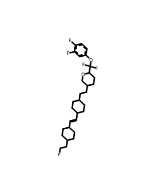 FCCC1CCC(/C=C/C2CCC(CCC3CCC(C(F)(F)Oc4ccc(F)c(F)c4)OC3)CC2)CC1